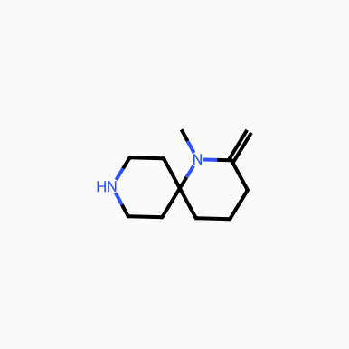 C=C1CCCC2(CCNCC2)N1C